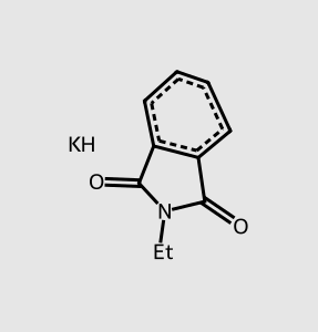 CCN1C(=O)c2ccccc2C1=O.[KH]